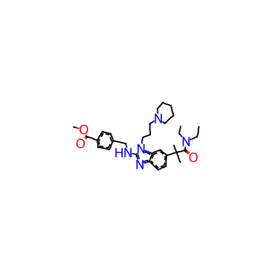 CCN(CC)C(=O)C(C)(C)c1ccc2nc(NCc3ccc(C(=O)OC)cc3)n(CCCN3CCCCC3)c2c1